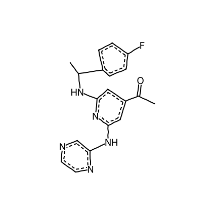 CC(=O)c1cc(Nc2cnccn2)nc(NC(C)c2ccc(F)cc2)c1